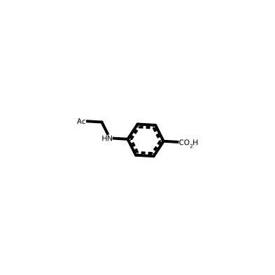 CC(=O)CNc1ccc(C(=O)O)cc1